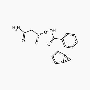 NC(=O)C[N+](=O)[O-].O=C(O)c1ccccc1.c1cc2cc-2c1